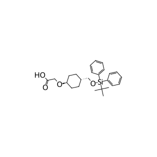 CC(C)(C)[Si](OC[C@H]1CC[C@H](OCC(=O)O)CC1)(c1ccccc1)c1ccccc1